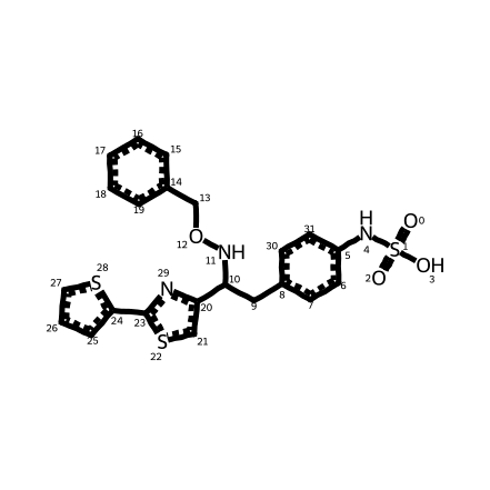 O=S(=O)(O)Nc1ccc(CC(NOCc2ccccc2)c2csc(-c3cccs3)n2)cc1